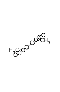 CC(COc1ccc(-c2ccc(OCC(C)OC3CO3)cc2)cc1)OC1CO1